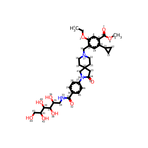 CCOc1cc(C(=O)OC)c(C2CC2)cc1CN1CCC2(CC1)CC(=O)N(c1ccc(C(=O)NCC(O)C(O)C(O)C(O)CO)cc1)C2